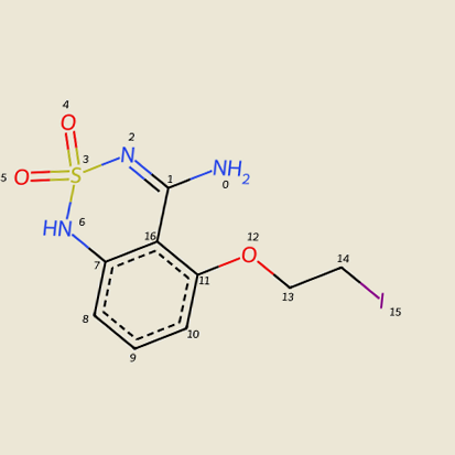 NC1=NS(=O)(=O)Nc2cccc(OCCI)c21